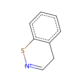 C1=[N+]Sc2ccccc2C1